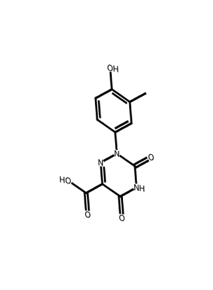 Cc1cc(-n2nc(C(=O)O)c(=O)[nH]c2=O)ccc1O